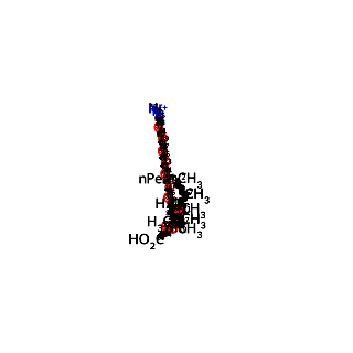 CCCCC[C@@H](C)CCC[C@@H](C)CCC(C)[C@@]1(C)Oc2c(C)c(C)c(OC(=O)CCC(=O)O)c(C)c2CC1CCOCCOCCOCCOCCOCCOCCOCCN=[N+]=[N-]